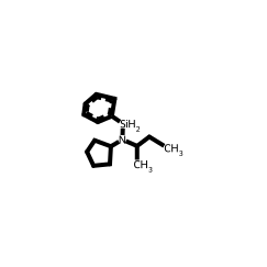 CCC(C)N([SiH2]c1ccccc1)C1CCCC1